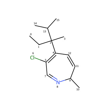 CCC(C)(C1=C(Cl)C=NC(C)C=C1)C(C)C